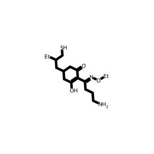 CCON=C(CCCN)C1=C(O)CC(CC(CC)CS)CC1=O